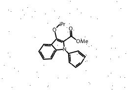 COC(=O)c1c(OC(C)C)c2ccccc2n1-c1ccccc1